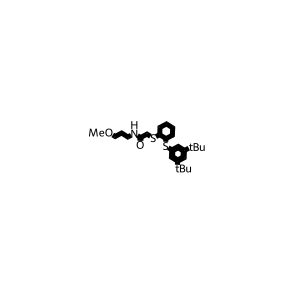 COCCCNC(=O)CSC1CCCCC1Sc1cc(C(C)(C)C)cc(C(C)(C)C)c1